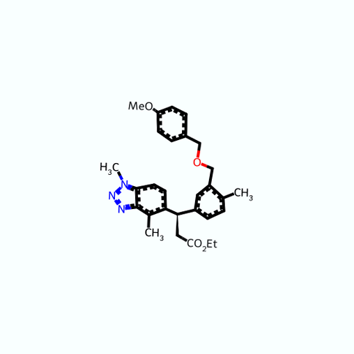 CCOC(=O)C[C@H](c1ccc(C)c(COCc2ccc(OC)cc2)c1)c1ccc2c(nnn2C)c1C